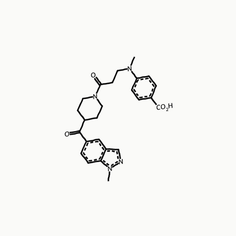 CN(CCC(=O)N1CCC(C(=O)c2ccc3c(cnn3C)c2)CC1)c1ccc(C(=O)O)cc1